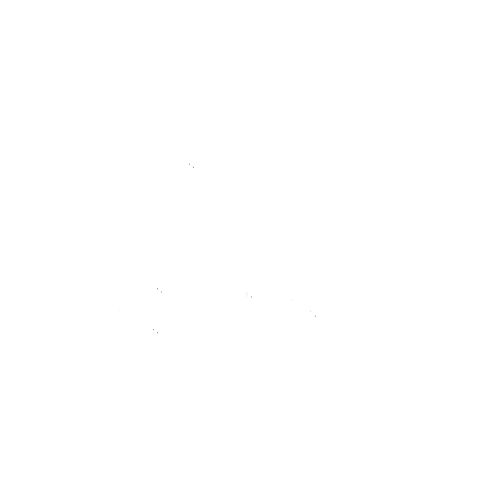 CCCCc1nc2ccc(NCC(=O)NC3CCCCC3)cc2n1Cc1ccc(-c2ccc(Cl)cc2C#N)cc1